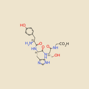 N[C@@H](Cc1ccc(O)cc1)C(=O)N[C@@H](Cc1c[nH]cn1)C(=O)N[C@@H](CO)C(=O)NCC(=O)O